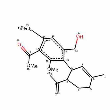 C=C(C)C1CCC(C)=CC1c1c(CO)cc(CCCCC)c(C(=O)OC)c1OC